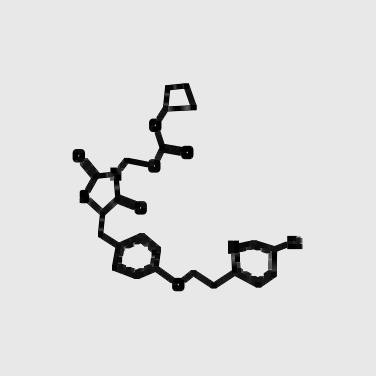 CCc1ccc(CCOc2ccc(CC3SC(=O)N(COC(=O)OC4CCC4)C3=O)cc2)nc1